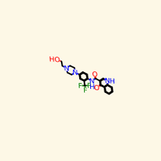 O=C(Nc1ccc(N2CCN(CCO)CC2)cc1C(F)(F)F)c1c[nH]c2ccccc2c1=O